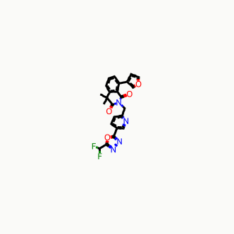 CC1(C)C(=O)N(Cc2ccc(-c3nnc(C(F)F)o3)cn2)C(=O)c2c(-c3ccoc3)cccc21